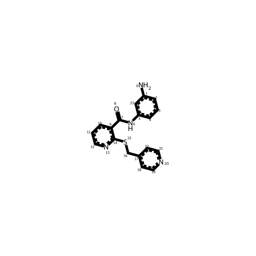 Nc1cccc(NC(=O)c2cccnc2SCc2ccncc2)c1